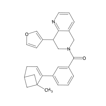 CC12CC(CC=C1c1cccc(C(=O)N3Cc4cccnc4C(c4ccoc4)C3)c1)C2